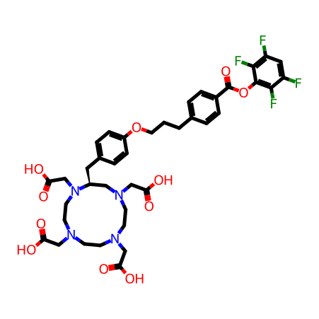 O=C(O)CN1CCN(CC(=O)O)CCN(CC(=O)O)[C@@H](Cc2ccc(OCCCc3ccc(C(=O)Oc4c(F)c(F)cc(F)c4F)cc3)cc2)CN(CC(=O)O)CC1